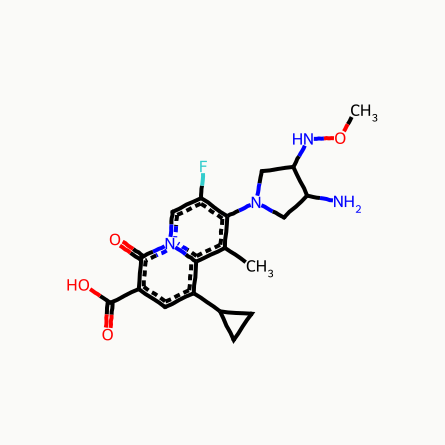 CONC1CN(c2c(F)cn3c(=O)c(C(=O)O)cc(C4CC4)c3c2C)CC1N